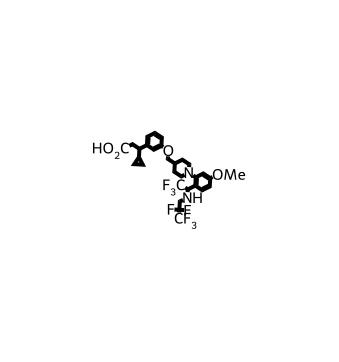 COc1ccc(C(NCC(F)(F)C(F)(F)F)C(F)(F)F)c(N2CCC(COc3cccc(C(CC(=O)O)C4CC4)c3)CC2)c1